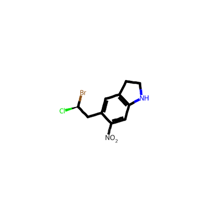 O=[N+]([O-])c1cc2c(cc1C[C@@H](Cl)Br)CCN2